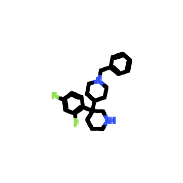 Fc1ccc(C2(C3CCN(Cc4ccccc4)CC3)CCCNC2)c(F)c1